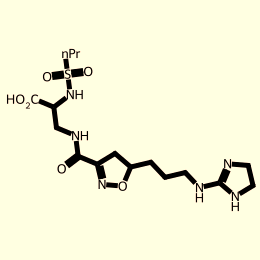 CCCS(=O)(=O)NC(CNC(=O)C1=NOC(CCCNC2=NCCN2)C1)C(=O)O